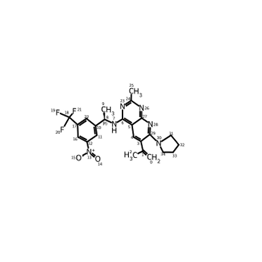 C=C(C)c1cc2c(N[C@H](C)c3cc([N+](=O)[O-])cc(C(F)(F)F)c3)nc(C)nc2nc1N1CCCC1